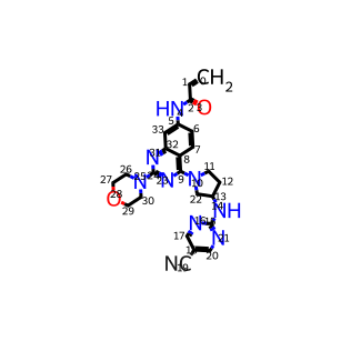 C=CC(=O)Nc1ccc2c(N3CCC(Nc4ncc(C#N)cn4)C3)nc(N3CCOCC3)nc2c1